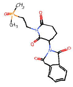 CP(C)(=O)CCN1C(=O)CCC(N2C(=O)c3ccccc3C2=O)C1=O